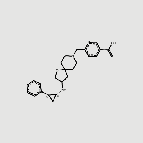 C=C(O)c1ccc(CN2CCC3(CC2)CC(N[C@@H]2C[C@H]2c2ccccc2)CO3)nc1